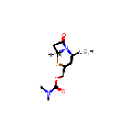 CN(C)C(=O)OCC1C=C(C(=O)O)N2C(=O)C[C@H]2S1